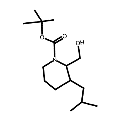 CC(C)CC1CCCN(C(=O)OC(C)(C)C)C1CO